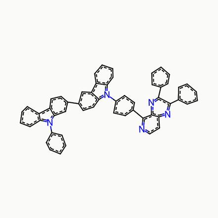 c1ccc(-c2nc3ccnc(-c4ccc(-n5c6ccccc6c6cc(-c7ccc8c9ccccc9n(-c9ccccc9)c8c7)ccc65)cc4)c3nc2-c2ccccc2)cc1